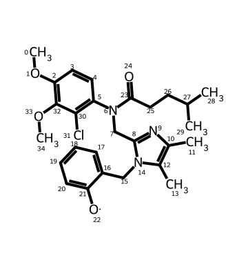 COc1ccc(N(Cc2nc(C)c(C)n2Cc2ccccc2[O])C(=O)CCC(C)C)c(Cl)c1OC